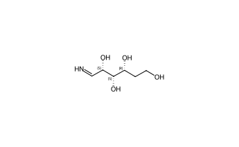 N=C[C@H](O)[C@@H](O)[C@H](O)CCO